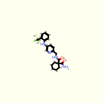 NC(=O)C1(C(=O)NCc2ccc(Nc3ccccc3C(F)(F)F)cn2)CCCCC1